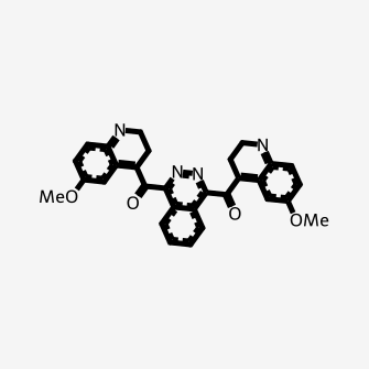 COc1ccc2c(c1)=C(C(=O)c1nnc(C(=O)C3=c4cc(OC)ccc4=NCC3)c3ccccc13)CCN=2